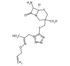 C=CCON=C(Cn1nnnc1SCC1(C(=O)O)CS[C@@H]2C(N)C(=O)N2C1)C(=O)O